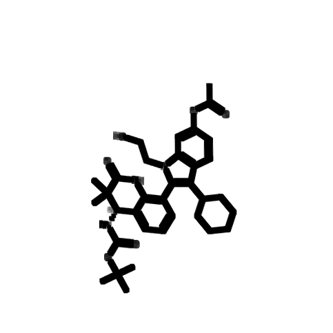 CC(=O)Oc1ccc2c(C3CCCCC3)c(-c3cccc4c3NC(=O)C(C)(C)[C@H]4NC(=O)OC(C)(C)C)n(CCO)c2c1